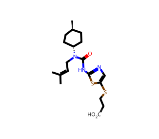 CC(C)=CCN(C(=O)Nc1ncc(SCCC(=O)O)s1)[C@H]1CC[C@H](C)CC1